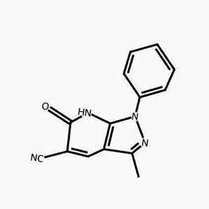 Cc1nn(-c2ccccc2)c2[nH]c(=O)c(C#N)cc12